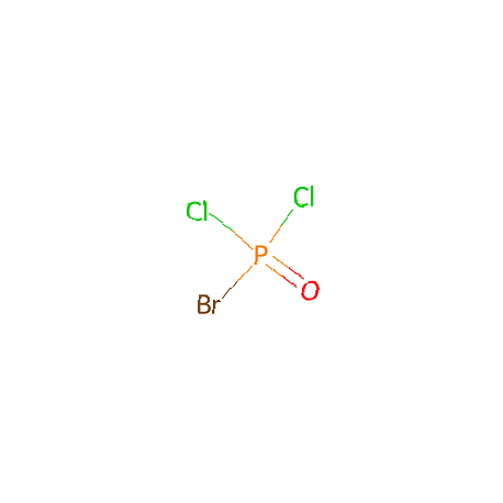 O=P(Cl)(Cl)Br